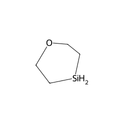 C1C[SiH2]CCO1